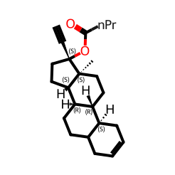 C#C[C@]1(OC(=O)CCC)CC[C@H]2[C@@H]3CCC4CC=CC[C@@H]4[C@H]3CC[C@@]21C